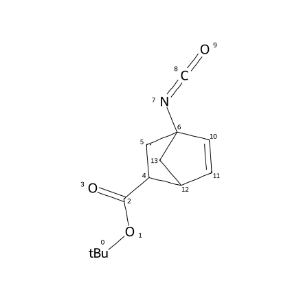 CC(C)(C)OC(=O)C1[CH]C2(N=C=O)C=CC1C2